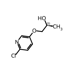 C[C@H](O)COc1ccc(Cl)nc1